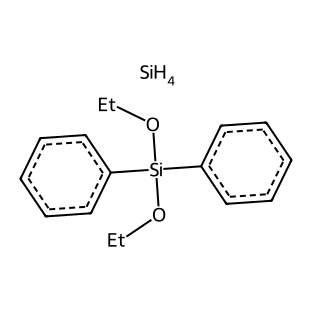 CCO[Si](OCC)(c1ccccc1)c1ccccc1.[SiH4]